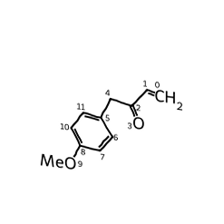 C=CC(=O)Cc1ccc(OC)cc1